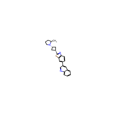 C[C@@H]1CCCN1[C@H]1C[C@H](c2nc3ccc(-c4cnc5ccccc5c4)cc3s2)C1